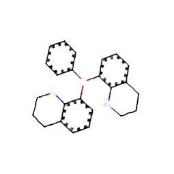 c1ccc(P(c2cccc3c2NCCC3)c2cccc3c2NCCC3)cc1